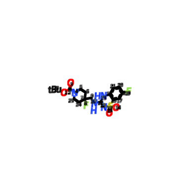 CC(C)(C)OC(=O)N1CCC(F)(CNC2=NS(=O)(=O)c3cc(F)ccc3N2)CC1